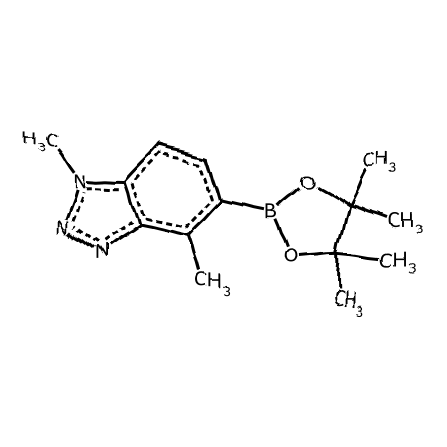 Cc1c(B2OC(C)(C)C(C)(C)O2)ccc2c1nnn2C